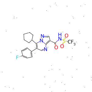 O=C(NS(=O)(=O)C(F)(F)F)c1cnn2c(C3CCCCC3)c(-c3ccc(F)cc3)cnc12